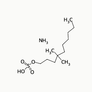 CCCCCCC(C)(C)CCCOS(=O)(=O)O.N